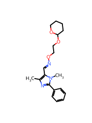 Cc1nc(-c2ccccc2)n(C)c1C=NOCCOC1CCCCO1